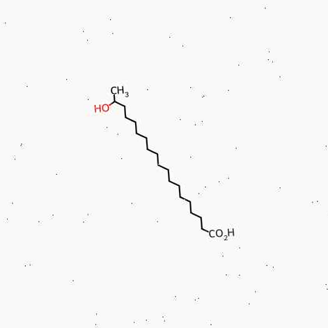 CC(O)CCCCCCCCCCCCCCCCC(=O)O